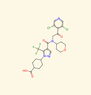 O=C(CN(C(=O)c1cnn(C2CCC(C(=O)O)CC2)c1C(F)(F)F)C1CCOCC1)c1c(Cl)cncc1Cl